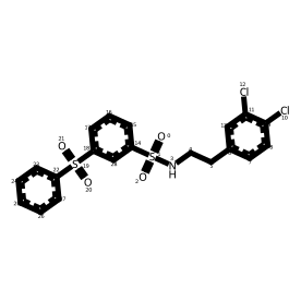 O=S(=O)(NCCc1ccc(Cl)c(Cl)c1)c1cccc(S(=O)(=O)c2ccccc2)c1